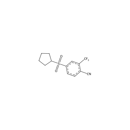 N#Cc1ccc(S(=O)(=O)C2CCCC2)cc1C(F)(F)F